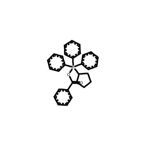 O=C(OP(c1ccccc1)(c1ccccc1)(c1ccccc1)C1CCCC1)c1ccccc1